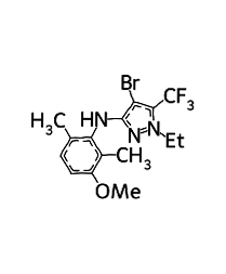 CCn1nc(Nc2c(C)ccc(OC)c2C)c(Br)c1C(F)(F)F